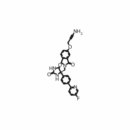 NC#CCOc1ccc2c(c1)C(=O)N(C[C@@]1(c3ccc(-c4ccc(F)cn4)cc3)NC(=O)NC1=O)C2